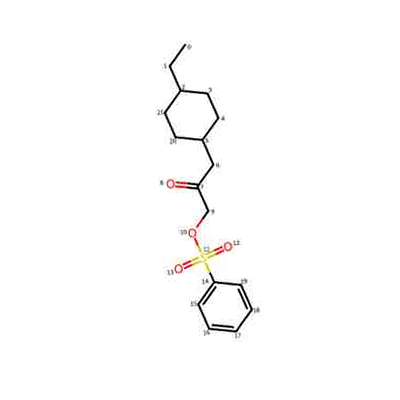 CCC1CCC(CC(=O)COS(=O)(=O)c2ccccc2)CC1